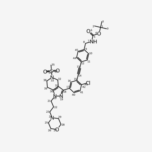 CC(C)(C)OC(=O)NCc1ccc(C#Cc2cc(-c3nn(CCCN4CCOCC4)c4c3CN(S(C)(=O)=O)CC4)ccc2Cl)cc1